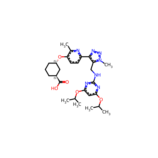 Cc1nc(-c2nnn(C)c2CNc2nc(OC(C)C)cc(OC(C)C)n2)ccc1O[C@H]1CCC[C@H](C(=O)O)C1